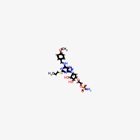 CCCSc1nc(NCc2ccc(OC)cc2)c2nnn([C@H]3C[C@@H](OCCOS(N)(=O)=O)[C@H](O)[C@@H]3O)c2n1